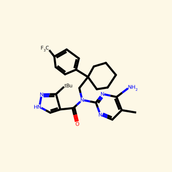 Cc1cnc(N(CC2(c3ccc(C(F)(F)F)cc3)CCCCC2)C(=O)c2c[nH]nc2C(C)(C)C)nc1N